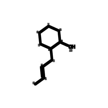 CC=CCC1CCCCC1O